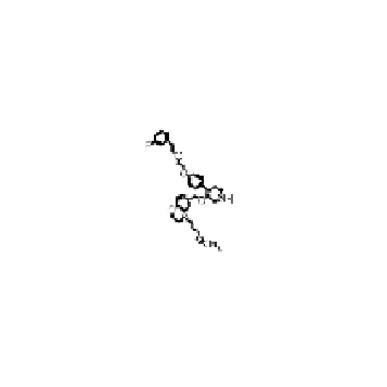 COCCCN1CCOc2ccc(COC3CNCCC3c3ccc(OCCOCCc4cccc(F)c4)cc3)cc21